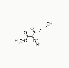 CCCCC(=O)C(=[N+]=[N-])C(=O)OC